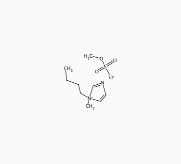 CCCC[N+]1(C)C=CN=C1.COS(=O)(=O)[O-]